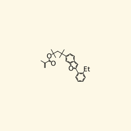 C=C(C)C(=O)OC(C)(C)CC(C)(C)c1ccc2cc(-c3ccccc3CC)oc2c1